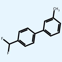 Cc1cccc(-c2ccc(C(F)F)cc2)c1